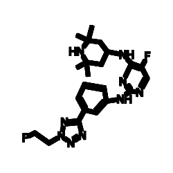 CC1(C)CC(Nc2nc(Nc3cccc(-c4nnn(CCF)n4)c3)ncc2F)CC(C)(C)N1